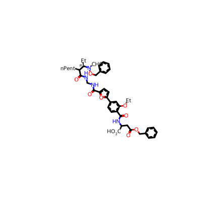 CCCCCC(C(=O)NCNC(=O)c1ccc(-c2ccc(C(=O)NC(CC(=O)OCc3ccccc3)C(=O)O)c(OCC)c2)o1)[C@@H](CC)N(C=O)OCc1ccccc1